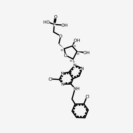 O=P(O)(O)COC[C@H]1O[C@@H](n2ncc3c(NCc4ccccc4Cl)nc(Cl)nc32)[C@H](O)[C@@H]1O